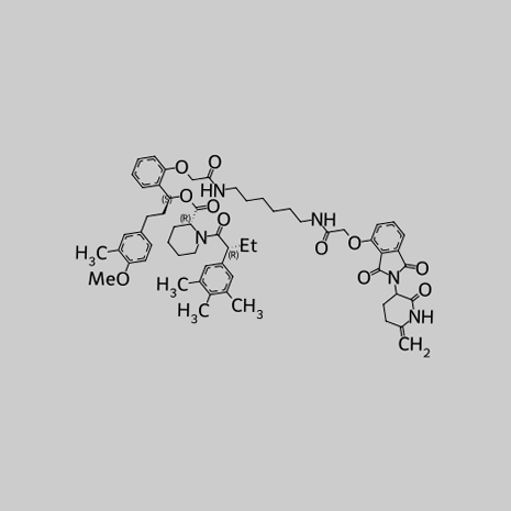 C=C1CCC(N2C(=O)c3cccc(OCC(=O)NCCCCCCNC(=O)COc4ccccc4[C@H](CCc4ccc(OC)c(C)c4)OC(=O)[C@H]4CCCCN4C(=O)[C@H](CC)c4cc(C)c(C)c(C)c4)c3C2=O)C(=O)N1